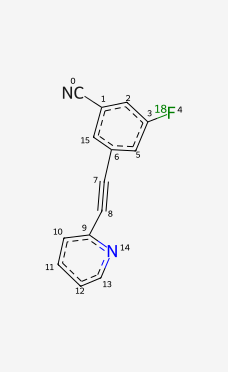 N#Cc1cc([18F])cc(C#Cc2ccccn2)c1